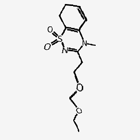 CCOCOCCC1=NS(=O)(=O)C2=C(C=CCC2)N1C